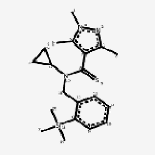 Cc1nn(C)c(F)c1C(=S)N(Cc1ccccc1[Si](C)(C)C)C1CC1